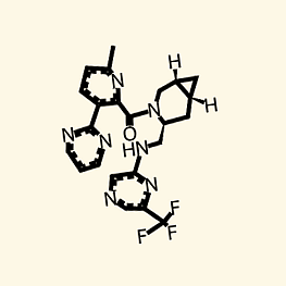 Cc1ccc(-c2ncccn2)c(C(=O)N2C[C@@H]3C[C@@H]3C[C@H]2CNc2cncc(C(F)(F)F)n2)n1